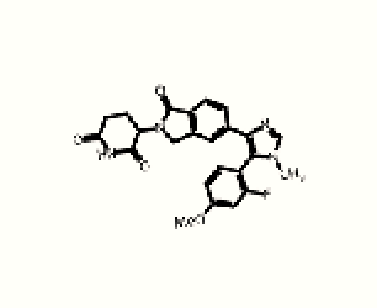 COc1ccc(-c2c(-c3ccc4c(c3)CN(C3CCC(=O)NC3=O)C4=O)ncn2C)c(F)c1